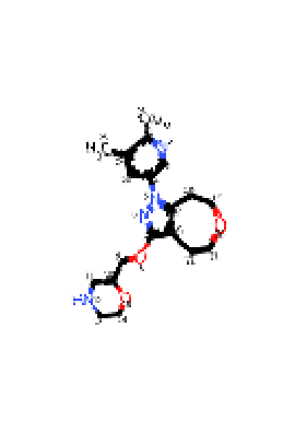 COc1ncc(-n2nc(OCC3CNCCO3)c3c2CCOCC3)cc1C